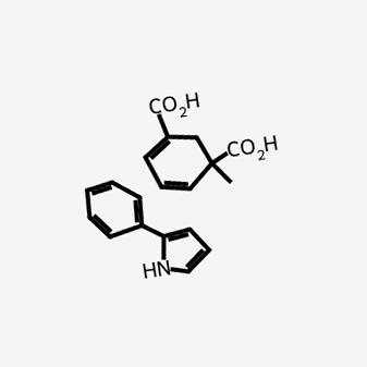 CC1(C(=O)O)C=CC=C(C(=O)O)C1.c1ccc(-c2ccc[nH]2)cc1